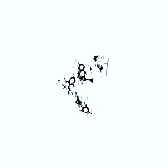 CCc1cccc(C)c1N(C(=O)CCl)C(C)COC.CS(=O)(=O)c1cc(C(F)(F)F)ccc1C(=O)c1cnoc1C1CC1.C[S+](C)C.Nc1c([N+](=O)[O-])cnn1-c1c(Cl)cc(C(F)(F)F)cc1Cl.O=C(O)CNCP(=O)([O-])O